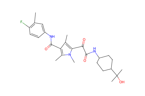 Cc1cc(NC(=O)c2c(C)c(C(=O)C(=O)NC3CCC(C(C)(C)O)CC3)n(C)c2C)ccc1F